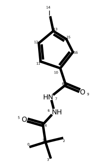 CC(C)(C)C(=O)NNC(=O)c1ccc(I)cc1